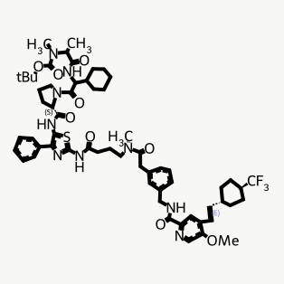 COc1cnc(C(=O)NCc2cccc(CC(=O)N(C)CCCC(=O)Nc3nc(-c4ccccc4)c(NC(=O)[C@@H]4CCCN4C(=O)C(NC(=O)C(C)N(C)C(=O)OC(C)(C)C)C4CCCCC4)s3)c2)cc1/C=C/[C@H]1CC[C@H](C(F)(F)F)CC1